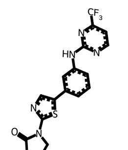 O=C1OCCN1c1ncc(-c2cccc(Nc3nccc(C(F)(F)F)n3)c2)s1